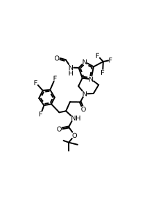 CC(C)(C)OC(=O)NC(CC(=O)N1CCn2c(C(F)(F)F)nc(NC=O)c2C1)Cc1cc(F)c(F)cc1F